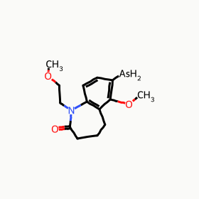 COCCN1C(=O)CCCc2c1ccc([AsH2])c2OC